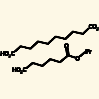 CC(C)OC(=O)CCCCC(=O)O.O=C(O)CCCCCCCCC(=O)O